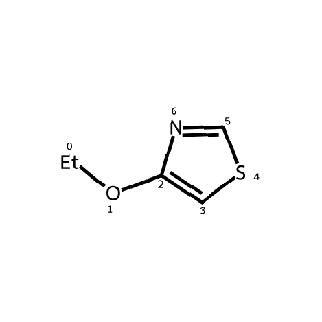 [CH2]COc1cscn1